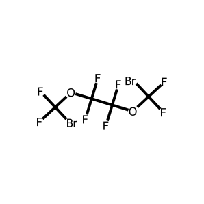 FC(F)(Br)OC(F)(F)C(F)(F)OC(F)(F)Br